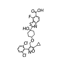 O=C(O)c1ccc2nc(C3(O)CCC(OCc4c(-c5c(Cl)cccc5Cl)noc4C4CC4)CC3)sc2c1F